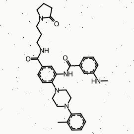 CNc1cccc(C(=O)Nc2cc(C(=O)NCCCN3CCCC3=O)ccc2N2CCN(c3ccccc3C)CC2)c1